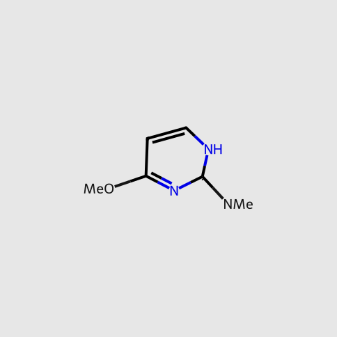 CN[C]1N=C(OC)C=CN1